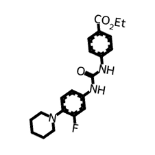 CCOC(=O)c1ccc(NC(=O)Nc2ccc(N3CCCCC3)c(F)c2)cc1